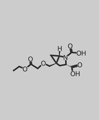 CCOC(=O)COC[C@@]12C[C@@H]1N(C(=O)O)[C@H](C(=O)O)C2